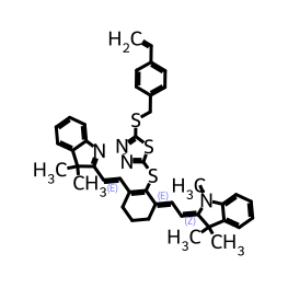 C=Cc1ccc(CSc2nnc(SC3=C(/C=C/C4=Nc5ccccc5C4(C)C)CCC/C3=C\C=C3/N(C)c4ccccc4C3(C)C)s2)cc1